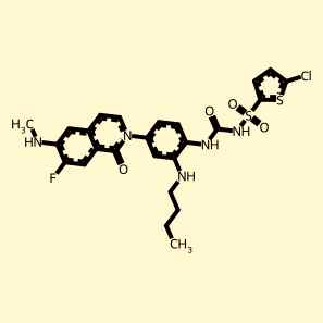 CCCCNc1cc(-n2ccc3cc(NC)c(F)cc3c2=O)ccc1NC(=O)NS(=O)(=O)c1ccc(Cl)s1